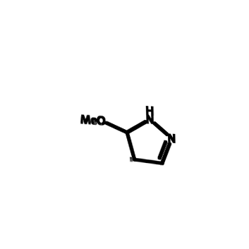 COC1[C]C=NN1